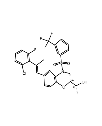 CC(=Cc1ccc2c(c1)N(S(=O)(=O)c1cccc(C(F)(F)F)c1)C[C@H]([C@@H](C)O)O2)c1c(F)cccc1Cl